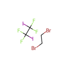 BrCCBr.FC(F)(I)C(F)(F)I